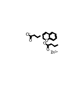 C1=Cc2ccccc2OC1.CCCC(=O)[O-].CCCC(=O)[O-].[Zn+2]